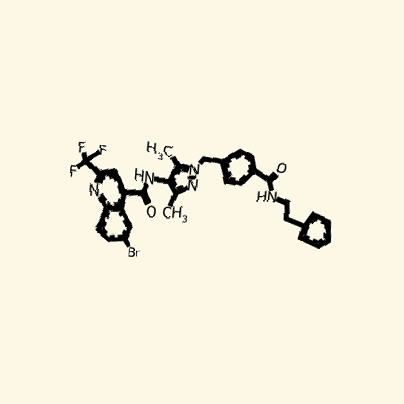 Cc1nn(Cc2ccc(C(=O)NCCc3ccccc3)cc2)c(C)c1NC(=O)c1cc(C(F)(F)F)nc2ccc(Br)cc12